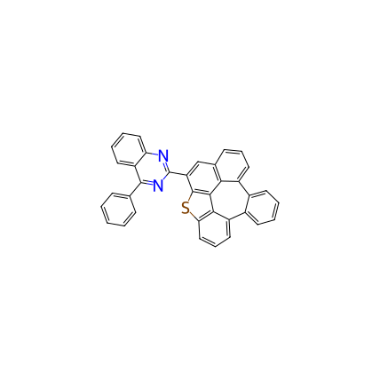 c1ccc(-c2nc(-c3cc4cccc5c4c4c3sc3cccc(c34)-c3ccccc3-5)nc3ccccc23)cc1